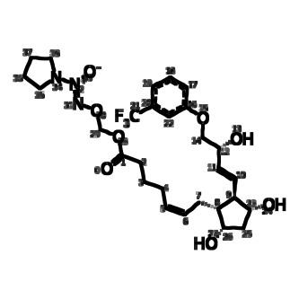 O=C(CCC/C=C\C[C@@H]1[C@@H](/C=C/[C@@H](O)COc2cccc(C(F)(F)F)c2)[C@H](O)C[C@@H]1O)OCO/N=[N+](\[O-])N1CCCC1